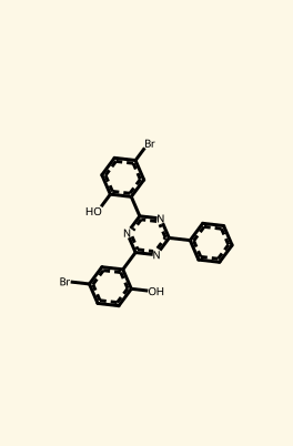 Oc1ccc(Br)cc1-c1nc(-c2ccccc2)nc(-c2cc(Br)ccc2O)n1